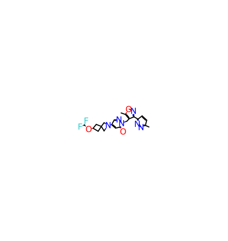 Cc1ccc(-c2noc(C)c2Cn2ncc(N3CC4(CC(OC(F)F)C4)C3)cc2=O)nn1